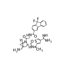 C[C@@H](NC(=O)[C@@H]1C[C@]2(CN)C[C@@H]2N1C(=O)CNC(=O)c1ccc2c(c1)-c1ccccc1C2(F)F)c1cc(C(=N)N)cs1